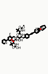 COC(=O)N[C@H](C(=O)N[C@@H](Cc1ccc(C#Cc2ccc(N3CC4CCC(C3)N4C3COC3)nc2)cc1)[C@@H](O)CN(Cc1c(F)cc(-c2ccccn2)cc1F)NC(=O)[C@@H](NC(=O)O)C(C)(C)C)C(C)(C)C